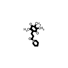 CC1=C(C)C(=O)C(CCC(=O)N2CCCCC2)=C(C)C1=O